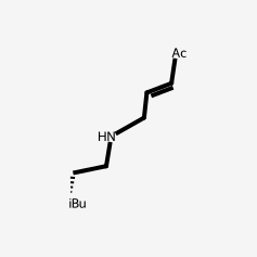 CC[C@@H](C)CCNC/C=C/C(C)=O